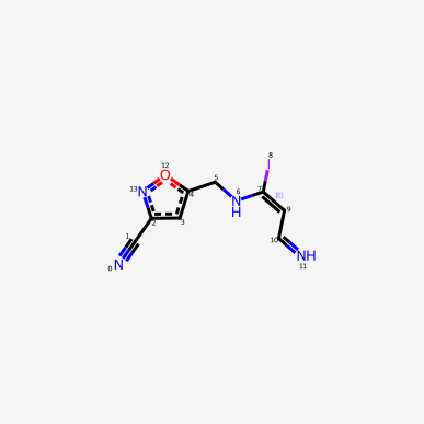 N#Cc1cc(CN/C(I)=C\C=N)on1